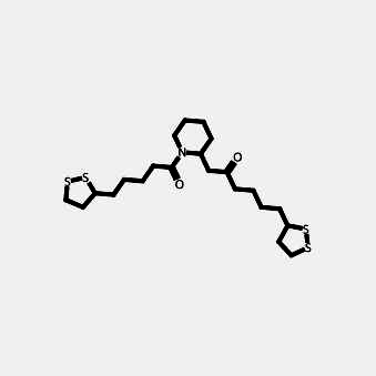 O=C(CCCCC1CCSS1)CC1CCCCN1C(=O)CCCCC1CCSS1